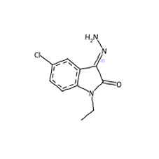 CCN1C(=O)/C(=N/N)c2cc(Cl)ccc21